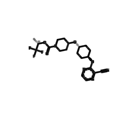 C[C@H](OC(=O)N1CCC(O[C@H]2CC[C@H](Oc3nccnc3C#N)CC2)CC1)C(F)(F)F